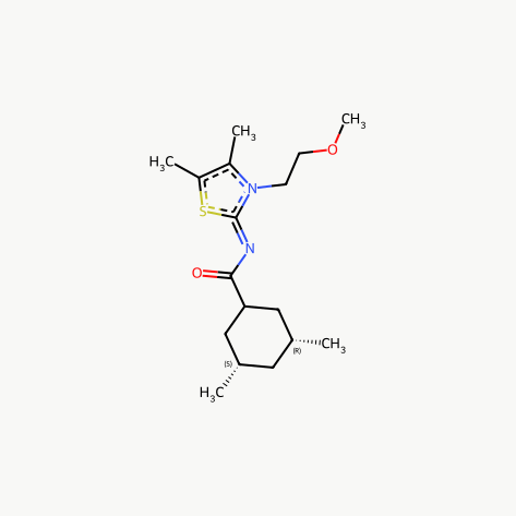 COCCn1c(C)c(C)sc1=NC(=O)C1C[C@@H](C)C[C@@H](C)C1